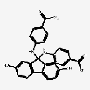 O=C(c1ccc(NC2(Nc3ccc(C(=O)C(F)(F)F)cc3)c3cc(O)ccc3-c3ccc(O)cc32)cc1)C(F)(F)F